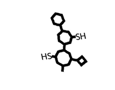 CC1CC(S)CC(C2CCC(C3CCCCC3)CC(S)C2)CC(C2CCC2)C1